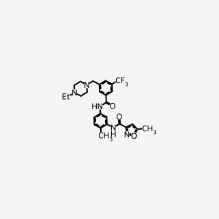 CCN1CCN(Cc2cc(C(=O)Nc3ccc(C)c(NC(=O)c4cc(C)on4)c3)cc(C(F)(F)F)c2)CC1